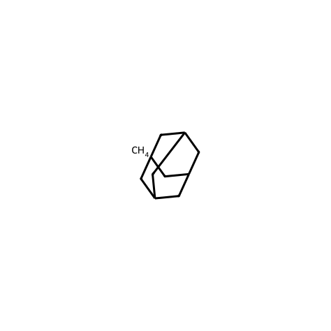 C.C1C2CC3CC1CC(C2)C3